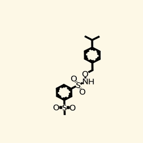 CC(C)c1ccc(CONS(=O)(=O)c2cccc(S(C)(=O)=O)c2)cc1